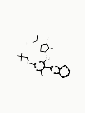 Cc1nc(NCC(F)(F)F)nc(N[C@@H]2C[C@H](C(C)O)[C@@H](O)[C@H]2O)c1-c1nc2ccccc2s1